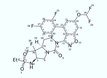 CCS(=O)(=O)N[C@@H]1CN2C(=O)N(c3noc4cc(OC(F)F)cc(-c5c(F)cc(F)cc5F)c34)CC[C@@H]2C1(F)F